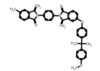 C=C1c2cc(C)ccc2C(=O)N1c1ccc(N2C(=C)c3cc(Oc4ccc(C(C)(C)c5ccc(OC)cc5)cc4)ccc3C2=O)cc1